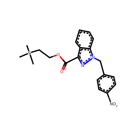 C[Si](C)(C)CCOC(=O)c1nn(Cc2ccc([N+](=O)[O-])cc2)c2ccccc12